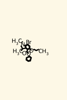 CCCCOc1cc(Br)c2c(c1C(=O)Oc1ccccc1)C(C)CN2CC